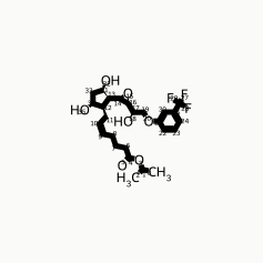 CC(C)OC(=O)CCC/C=C\C[C@@H]1[C@@H]([C@H]2O[C@@H]2[C@@H](O)COc2cccc(C(F)(F)F)c2)[C@H](O)C[C@@H]1O